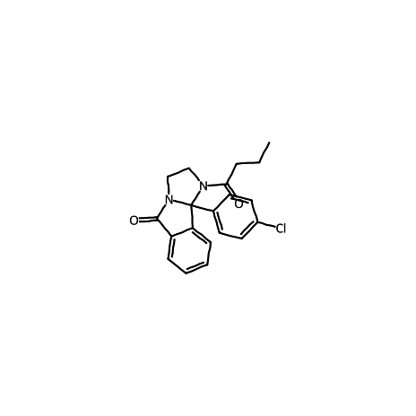 CCCC(=O)N1CCN2C(=O)c3ccccc3C12c1ccc(Cl)cc1